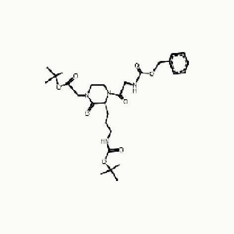 CC(C)(C)OC(=O)CN1CCN(C(=O)CNC(=O)OCc2ccccc2)[C@@H](CCCNC(=O)OC(C)(C)C)C1=O